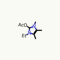 CCN1C(C)=C(C)N(C)C1OC(C)=O